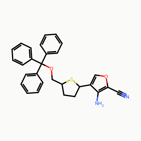 N#Cc1occ(C2CCC(COC(c3ccccc3)(c3ccccc3)c3ccccc3)S2)c1N